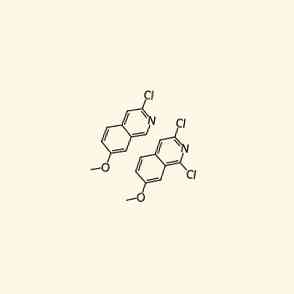 COc1ccc2cc(Cl)nc(Cl)c2c1.COc1ccc2cc(Cl)ncc2c1